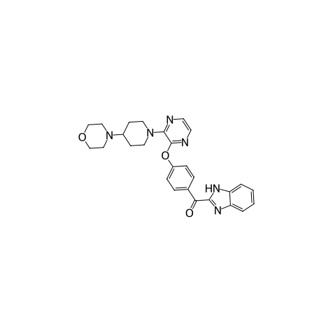 O=C(c1ccc(Oc2nccnc2N2CCC(N3CCOCC3)CC2)cc1)c1nc2ccccc2[nH]1